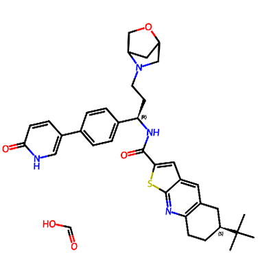 CC(C)(C)[C@H]1CCc2nc3sc(C(=O)N[C@H](CCN4CC5CC4CO5)c4ccc(-c5ccc(=O)[nH]c5)cc4)cc3cc2C1.O=CO